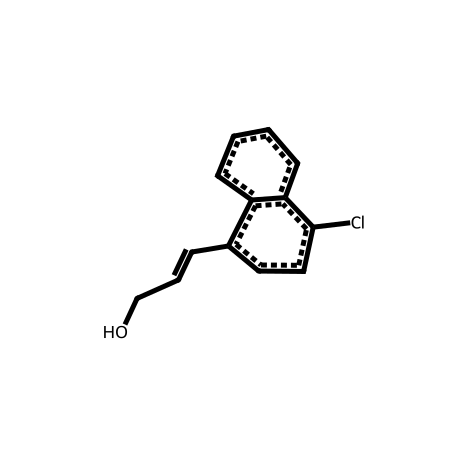 OCC=Cc1ccc(Cl)c2ccccc12